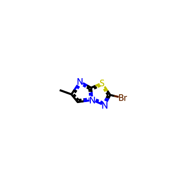 Cc1cn2nc(Br)sc2n1